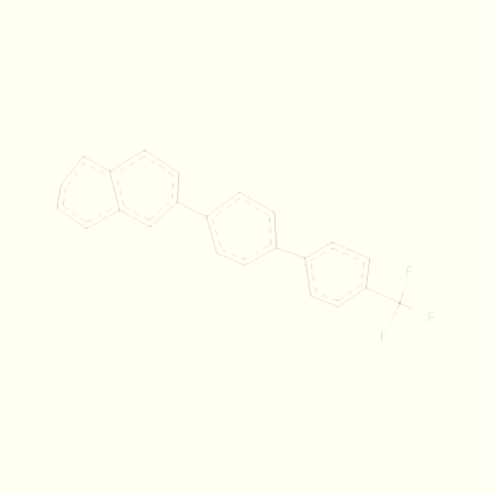 FC(F)(F)c1ccc(-c2ccc(-c3ccc4ccccc4c3)cc2)cc1